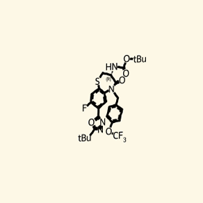 CC(C)(C)OC(=O)N[C@H]1CSc2cc(F)c(-c3nnc(C(C)(C)C)o3)cc2N(Cc2ccc(OC(F)(F)F)cc2)C1=O